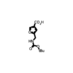 CC(C)(C)OC(=O)NCc1cc(C(=O)O)co1